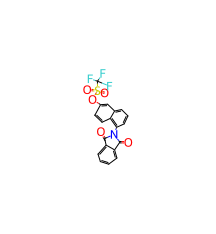 O=C1c2ccccc2C(=O)N1c1cccc2cc(OS(=O)(=O)C(F)(F)F)ccc12